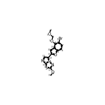 COCOc1c(Br)ccc2oc(-c3cnc4sc(OC)nn34)cc12